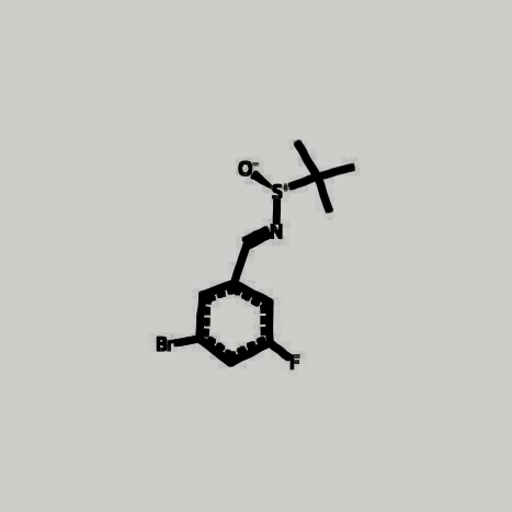 CC(C)(C)[S@+]([O-])/N=C/c1cc(F)cc(Br)c1